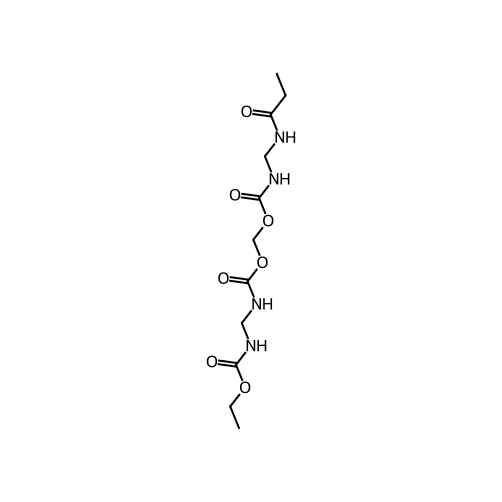 CCOC(=O)NCNC(=O)OCOC(=O)NCNC(=O)CC